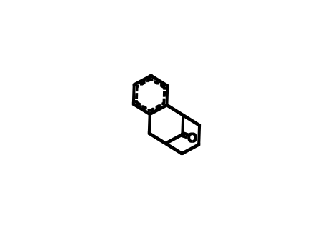 O=C1C2CCCC1c1ccccc1C2